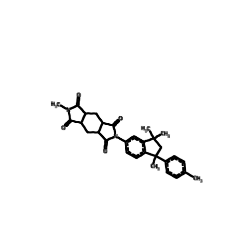 Cc1ccc(C2(C)CC(C)(C)c3cc(N4C(=O)C5CC6C(=O)N(C)C(=O)C6CC5C4=O)ccc32)cc1